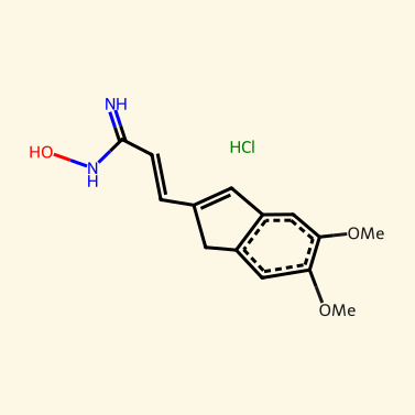 COc1cc2c(cc1OC)CC(C=CC(=N)NO)=C2.Cl